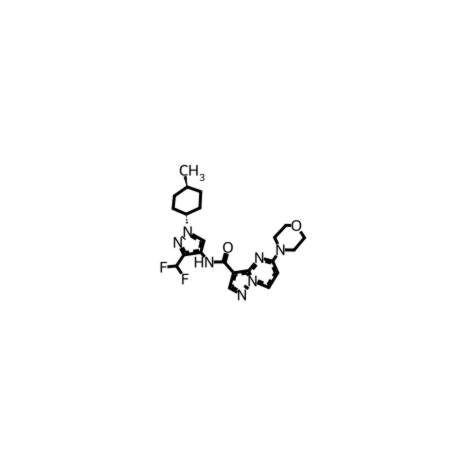 C[C@H]1CC[C@H](n2cc(NC(=O)c3cnn4ccc(N5CCOCC5)nc34)c(C(F)F)n2)CC1